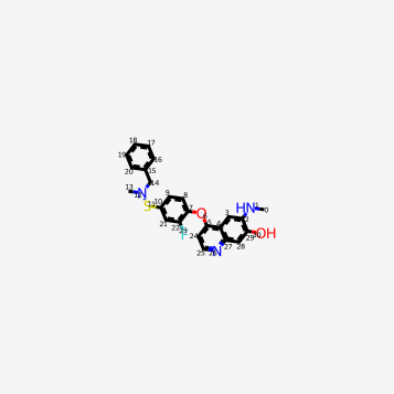 CNc1cc2c(Oc3ccc(SN(C)Cc4ccccc4)cc3F)ccnc2cc1O